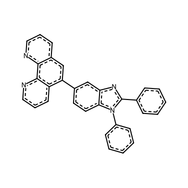 c1ccc(-c2nc3cc(-c4cc5cccnc5c5ncccc45)ccc3n2-c2ccccc2)cc1